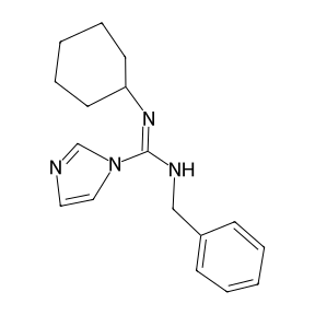 c1ccc(CN/C(=N/C2CCCCC2)n2ccnc2)cc1